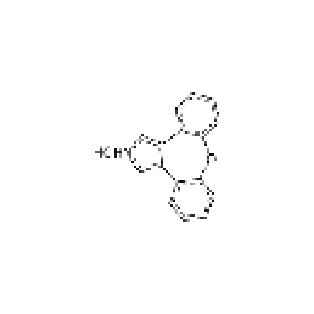 Cl.c1ccc2c(c1)Oc1ccccc1-c1c[nH]cc1-2